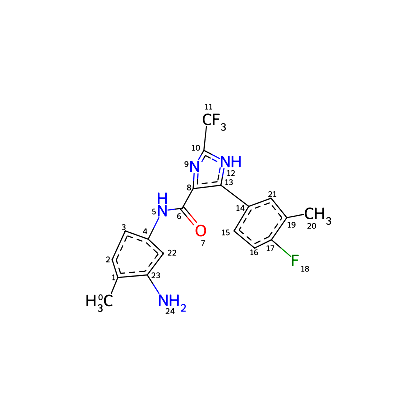 Cc1ccc(NC(=O)c2nc(C(F)(F)F)[nH]c2-c2ccc(F)c(C)c2)cc1N